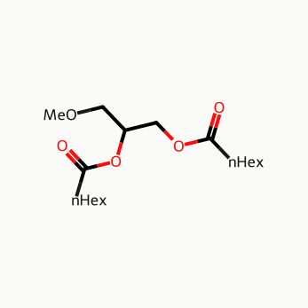 CCCCCCC(=O)OCC(COC)OC(=O)CCCCCC